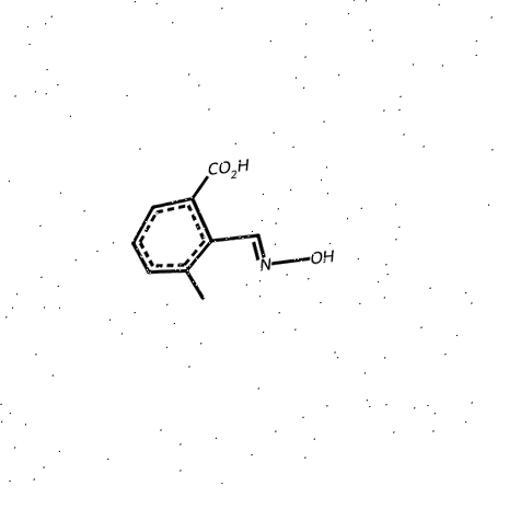 Cc1cccc(C(=O)O)c1C=NO